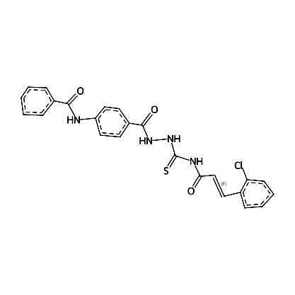 O=C(/C=C/c1ccccc1Cl)NC(=S)NNC(=O)c1ccc(NC(=O)c2ccccc2)cc1